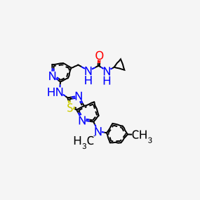 Cc1ccc(N(C)c2ccc3nc(Nc4cc(CNC(=O)NC5CC5)ccn4)sc3n2)cc1